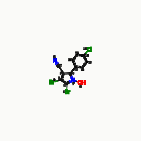 N#Cc1c(Br)c(Br)n(O)c1-c1ccc(Cl)cc1